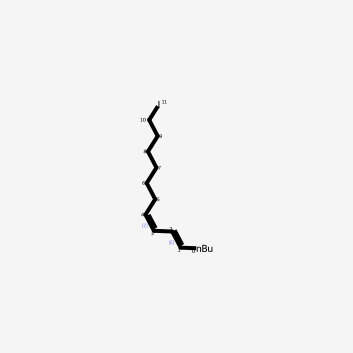 CCCC/C=C/C=C\CCCCCCI